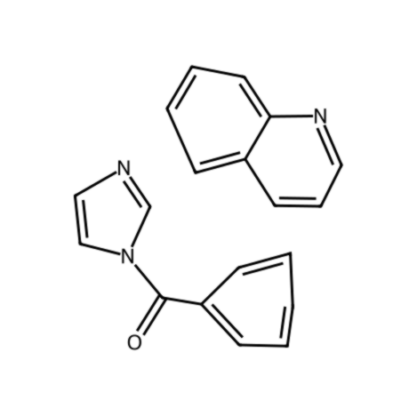 O=C(c1ccccc1)n1ccnc1.c1ccc2ncccc2c1